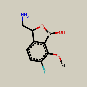 CCOc1c(F)ccc2c1B(O)OC2CN